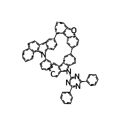 c1ccc(-c2nc(-c3ccccc3)nc(-n3c4ccccc4c4cc(-c5ccc6oc7cccc(-c8ccc9c(c8)c8ccc%10ccccc%10c8n9-c8ccccc8)c7c6c5)ccc43)n2)cc1